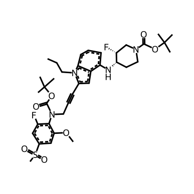 CCCn1c(C#CCN(C(=O)OC(C)(C)C)c2c(F)cc(S(C)(=O)=O)cc2OC)cc2c(N[C@H]3CCN(C(=O)OC(C)(C)C)C[C@H]3F)cccc21